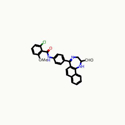 COc1cccc(Cl)c1C(=O)Nc1ccc(C2=NCC(C=O)Nc3c2ccc2ccccc32)cc1